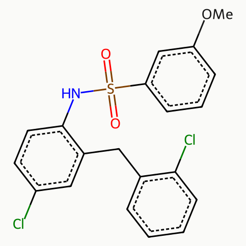 COc1cccc(S(=O)(=O)Nc2ccc(Cl)cc2Cc2ccccc2Cl)c1